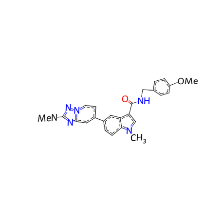 CNc1nc2cc(-c3ccc4c(c3)c(C(=O)NCc3ccc(OC)cc3)cn4C)ccn2n1